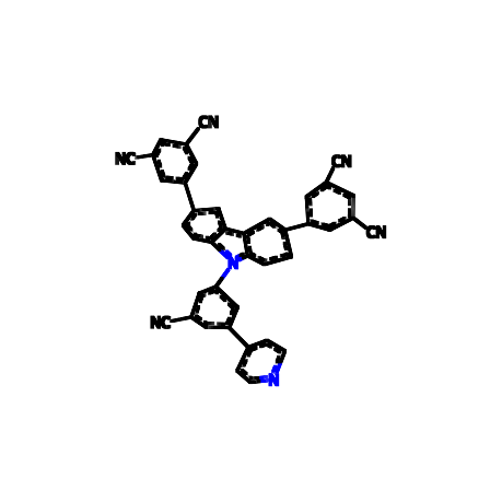 N#Cc1cc(C#N)cc(-c2ccc3c(c2)c2cc(-c4cc(C#N)cc(C#N)c4)ccc2n3-c2cc(C#N)cc(-c3ccncc3)c2)c1